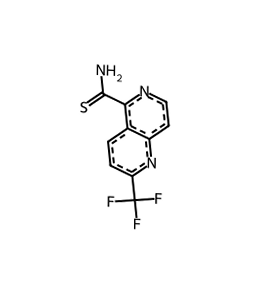 NC(=S)c1nccc2nc(C(F)(F)F)ccc12